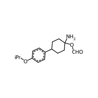 CC(C)Oc1ccc(C2CCC(N)(OC=O)CC2)cc1